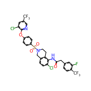 O=C(Cc1ccc(C(F)(F)F)c(F)c1)Nc1c(Cl)ccc2c1CCN(S(=O)(=O)c1ccc(Oc3ncc(C(F)(F)F)cc3Cl)cc1)C2